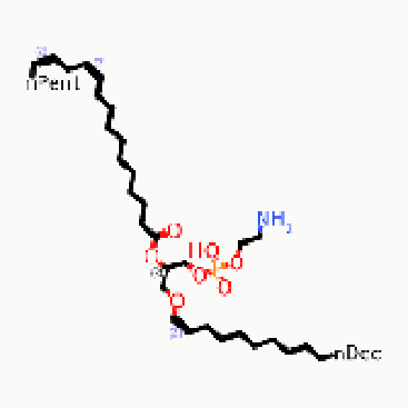 CCCCC/C=C\C/C=C\CCCCCCCCCC(=O)O[C@H](CO/C=C\CCCCCCCCCCCCCCCCCC)COP(=O)(O)OCCN